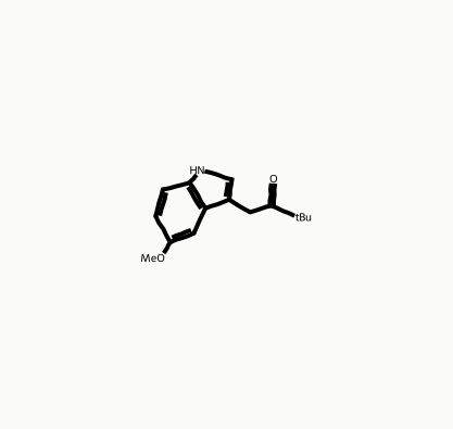 COc1ccc2[nH]cc(CC(=O)C(C)(C)C)c2c1